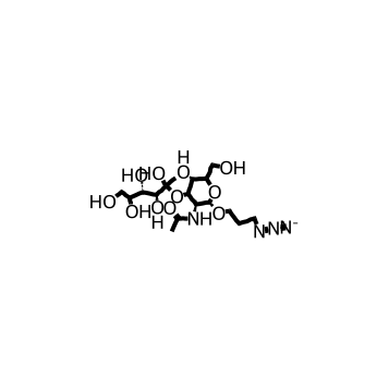 CC(=O)N[C@H]1C(OC(C)(O)[C@@H](O)[C@@H](O)C(O)CO)[C@H](O)C(CO)O[C@H]1OCCCN=[N+]=[N-]